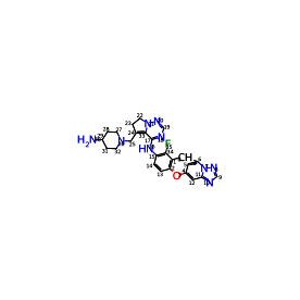 Cc1c(Oc2ccn3ncnc3c2)ccc(NC2=NC=NN3CCC(CN4CCC(N)CC4)=C23)c1F